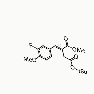 COC(=O)/C(=C/c1ccc(OC)c(F)c1)CC(=O)OC(C)(C)C